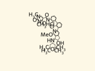 COc1nc(-c2cccc(-c3cccc(NC(=O)c4cn(C)c(=O)n(C)c4=O)c3Cl)c2Cl)cc2c1C(NC1CC(C)(C)OC(C)(C)C1)C(O)C2